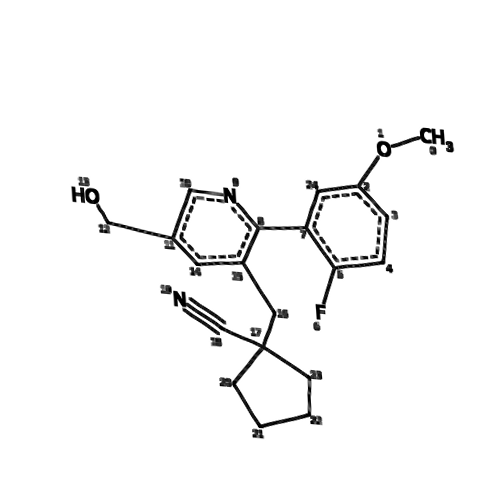 COc1ccc(F)c(-c2ncc(CO)cc2CC2(C#N)CCCC2)c1